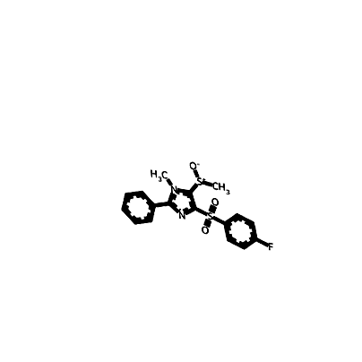 Cn1c(-c2ccccc2)nc(S(=O)(=O)c2ccc(F)cc2)c1[S+](C)[O-]